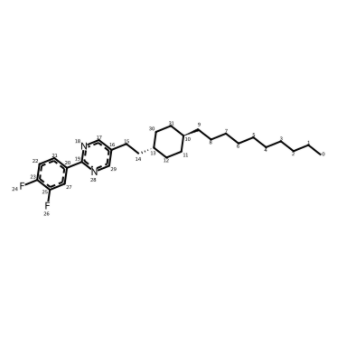 CCCCCCCCCC[C@H]1CC[C@H](CCc2cnc(-c3ccc(F)c(F)c3)nc2)CC1